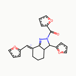 O=C(c1ccco1)N1N=C2/C(=C/c3ccco3)CCCC2C1c1ccco1